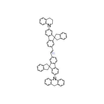 C(=C\c1ccc2c(c1)C1(Cc3ccccc3C1)c1cc(N3c4ccccc4Cc4ccccc43)ccc1-2)/c1ccc2c(c1)C1(Cc3ccccc3C1)c1cc(N3CCCc4ccccc43)ccc1-2